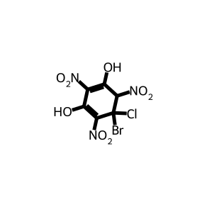 O=[N+]([O-])C1=C(O)C([N+](=O)[O-])C(Cl)(Br)C([N+](=O)[O-])=C1O